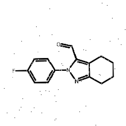 O=Cc1c2c(nn1-c1ccc(F)cc1)CCCC2